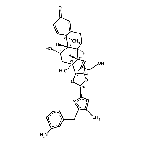 Cc1cc([C@@H]2O[C@@H]3C[C@H]4[C@@H]5CCC6=CC(=O)C=C[C@]6(C)[C@H]5[C@@H](O)C[C@]4(C)[C@]3(C(=O)CO)O2)sc1Cc1cccc(N)c1